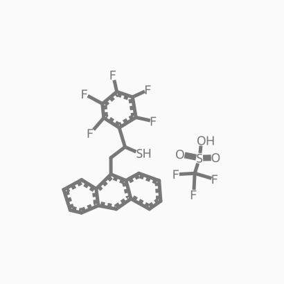 Fc1c(F)c(F)c(C(S)Cc2c3ccccc3cc3ccccc23)c(F)c1F.O=S(=O)(O)C(F)(F)F